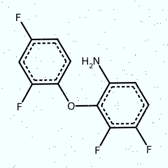 Nc1ccc(F)c(F)c1Oc1ccc(F)cc1F